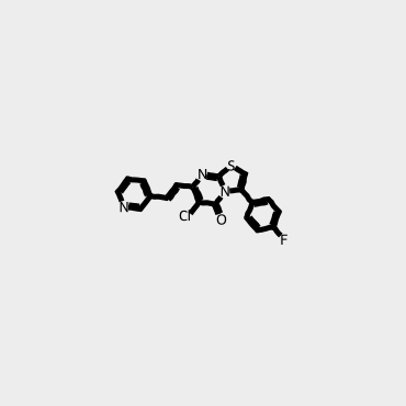 O=c1c(Cl)c(/C=C/c2cccnc2)nc2scc(-c3ccc(F)cc3)n12